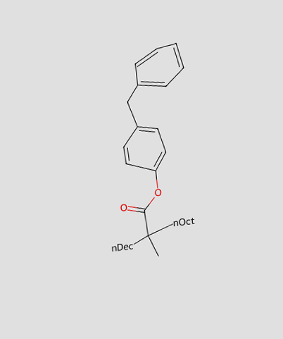 CCCCCCCCCCC(C)(CCCCCCCC)C(=O)Oc1ccc(Cc2ccccc2)cc1